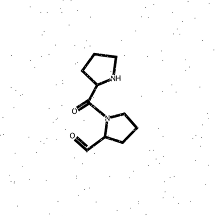 O=[C]C1CCCN1C(=O)C1CCCN1